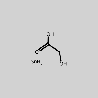 O=C(O)CO.[SnH2]